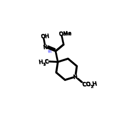 COC/C(=N\O)C1(C)CCN(C(=O)O)CC1